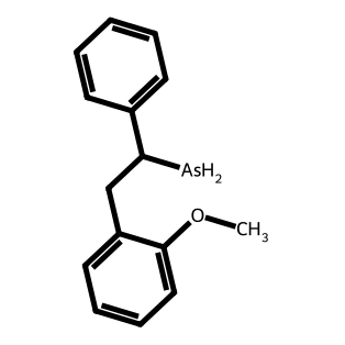 COc1ccccc1CC([AsH2])c1ccccc1